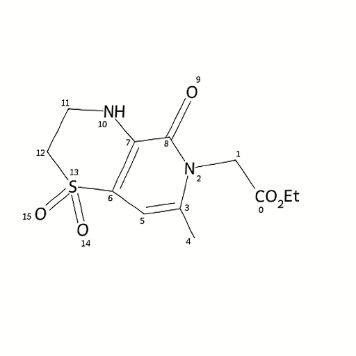 CCOC(=O)Cn1c(C)cc2c(c1=O)NCCS2(=O)=O